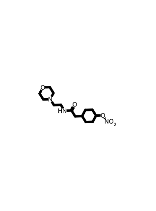 O=C(CC1CCC(O[N+](=O)[O-])CC1)NCCN1CCOCC1